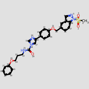 CS(=O)(=O)n1ncc2cc(COc3ccc(-c4cn(C(=O)NCCCOc5ccccc5)cn4)cc3)ccc21